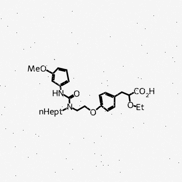 CCCCCCCN(CCOc1ccc(CC(OCC)C(=O)O)cc1)C(=O)Nc1cccc(OC)c1